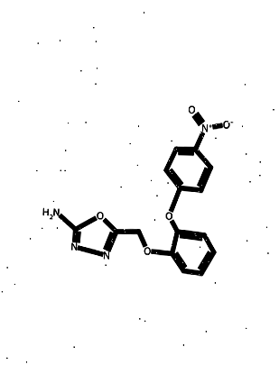 Nc1nnc(COc2ccccc2Oc2ccc([N+](=O)[O-])cc2)o1